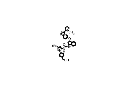 CN1CCCC1c1nnc2ccc(O[C@H]3C[C@H](NC(=O)Nc4cc(C(C)(C)C)nn4-c4ccc(CO)cc4)c4ccccc43)cn12